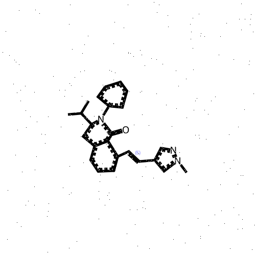 CC(C)c1cc2cccc(/C=C/c3cnn(C)c3)c2c(=O)n1-c1ccccc1